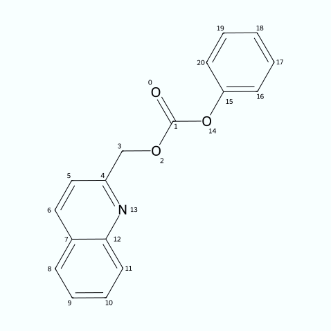 O=C(OCc1ccc2ccccc2n1)Oc1ccccc1